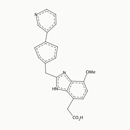 COc1ccc(CC(=O)O)c2[nH]c(Cc3ccc(-c4cccnc4)cc3)nc12